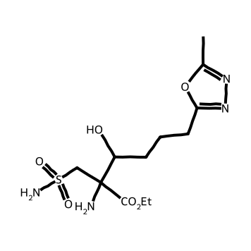 CCOC(=O)C(N)(CS(N)(=O)=O)C(O)CCCc1nnc(C)o1